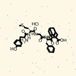 CSCC[C@@H](NC(=O)[C@@H](N)Cc1ccc(O)cc1)C(=O)NCC(=O)N[C@@H](Cc1ccccc1)C(=O)C1C2(N)CC3CC(C2)CC1(C(=O)O)C3.Cl